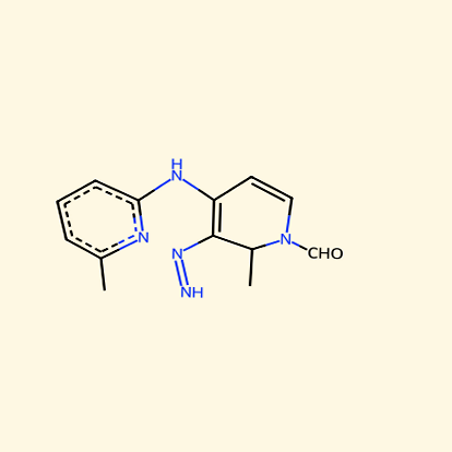 Cc1cccc(NC2=C(N=N)C(C)N(C=O)C=C2)n1